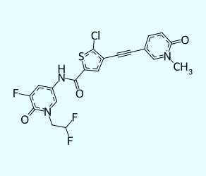 Cn1cc(C#Cc2cc(C(=O)Nc3cc(F)c(=O)n(CC(F)F)c3)sc2Cl)ccc1=O